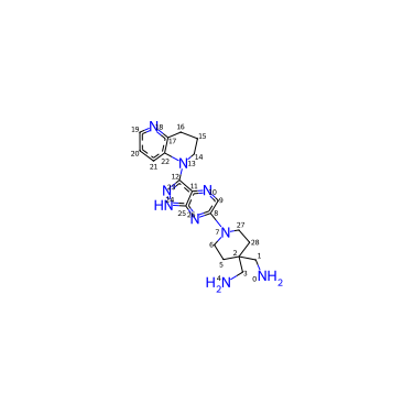 NCC1(CN)CCN(c2cnc3c(N4CCCc5ncccc54)n[nH]c3n2)CC1